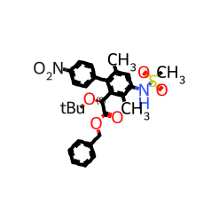 Cc1cc(NS(C)(=O)=O)c(C)c([C@H](OC(C)(C)C)C(=O)OCc2ccccc2)c1-c1ccc([N+](=O)[O-])cc1